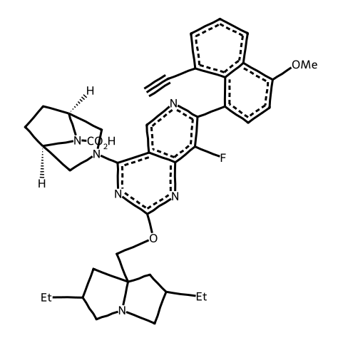 C#Cc1cccc2c(OC)ccc(-c3ncc4c(N5C[C@H]6CC[C@@H](C5)N6C(=O)O)nc(OCC56CC(CC)CN5CC(CC)C6)nc4c3F)c12